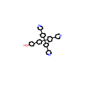 Oc1ccc(-c2ccc(C(c3ccc(-c4ccncc4)cc3)(c3ccc(-c4ccncc4)cc3)c3ccc(-c4ccncc4)cc3)cc2)cc1